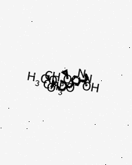 CC(C)(C)OC(=O)N1CCC(Oc2cc3c(O)ncnc3cc2OC2CC2)CC1